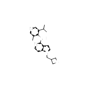 Cc1cncc(C(C)C)c1Nc1nccc2c1ccn2CC1COC1